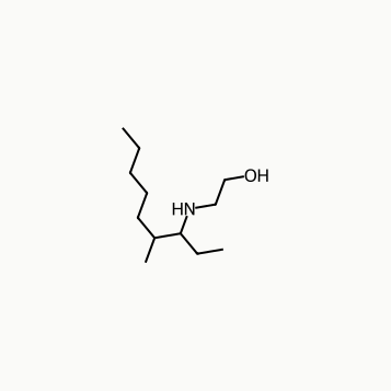 CCCCCC(C)C(CC)NCCO